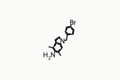 Cc1cc2c(ccn2Cc2ccc(Br)cc2)c(C)c1N